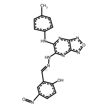 Cc1ccc(Nc2nc3nonc3nc2N/N=C/c2cc(N=O)ccc2O)cc1